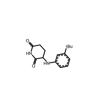 CC(C)(C)c1cccc(NC2CCC(=O)NC2=O)c1